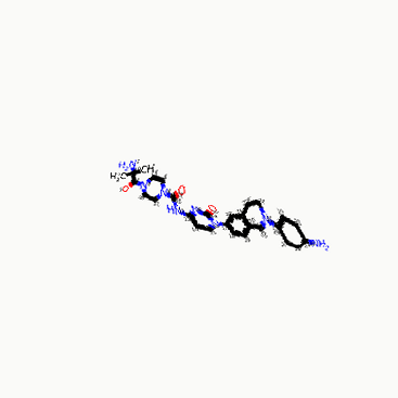 CC(C)(N)C(=O)N1CCN(C(=O)Nc2ccn(-c3ccc4c(c3)CCN(C3CCC(N)CC3)C4)c(=O)n2)CC1